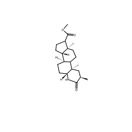 COC(=O)C1CC[C@H]2[C@@H]3CC[C@H]4NC(=O)[C@H](I)C[C@]4(C)C3CC[C@]12C